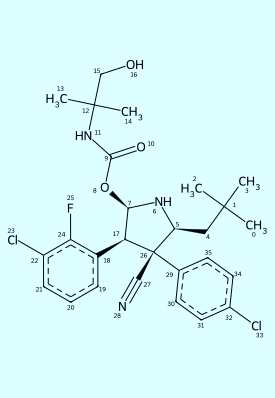 CC(C)(C)C[C@@H]1N[C@H](OC(=O)NC(C)(C)CO)[C@H](c2cccc(Cl)c2F)[C@@]1(C#N)c1ccc(Cl)cc1